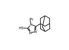 CC(C)n1c(S)nnc1C12CC3CC(CC(C3)C1)C2